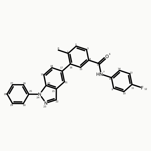 Cc1ccc(C(=O)Nc2ccc(F)cc2)cc1-c1ccc2c(cnn2-c2ccccc2)c1